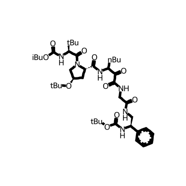 CCCCC(NC(=O)[C@@H]1C[C@@H](OC(C)(C)C)CN1C(=O)[C@@H](NC(=O)OCC(C)C)C(C)(C)C)C(=O)C(=O)NCC(=O)NC[C@H](NC(=O)OC(C)(C)C)c1ccccc1